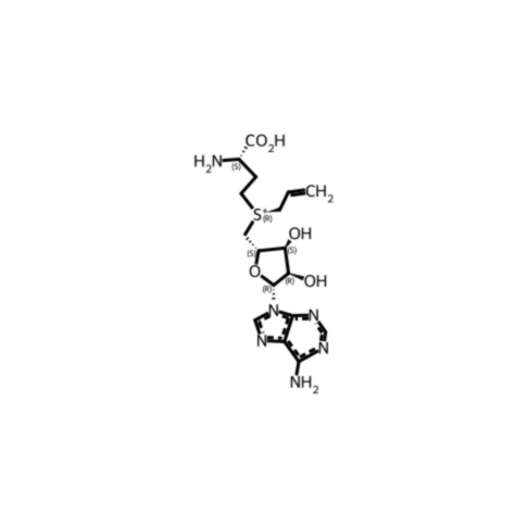 C=CC[S@+](CC[C@H](N)C(=O)O)C[C@H]1O[C@@H](n2cnc3c(N)ncnc32)[C@H](O)[C@@H]1O